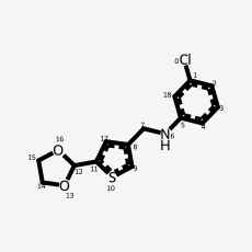 Clc1cccc(NCc2csc(C3OCCO3)c2)c1